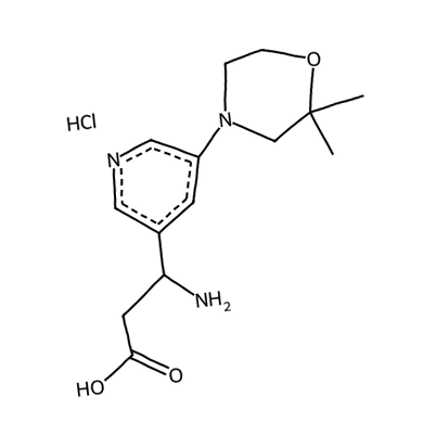 CC1(C)CN(c2cncc(C(N)CC(=O)O)c2)CCO1.Cl